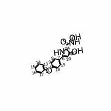 O=C(NO)[C@H]1NC(c2ccc(Oc3ccccc3)cc2)=C[C@H]1O